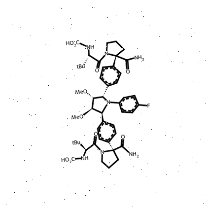 CO[C@H]1[C@H](OC)[C@H](c2ccc([C@]3(C(N)=O)CCCN3C(=O)[C@@H](NC(=O)O)C(C)(C)C)cc2)N(c2ccc(F)cc2)[C@H]1c1ccc([C@]2(C(N)=O)CCCN2C(=O)[C@@H](NC(=O)O)C(C)(C)C)cc1